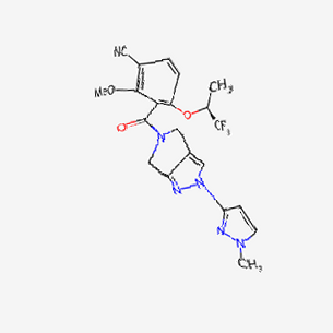 COc1c(C#N)ccc(O[C@@H](C)C(F)(F)F)c1C(=O)N1Cc2cn(-c3ccn(C)n3)nc2C1